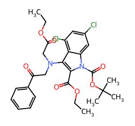 CCOC(=O)CN(CC(=O)c1ccccc1)c1c(C(=O)OCC)n(C(=O)OC(C)(C)C)c2cc(Cl)cc(Cl)c12